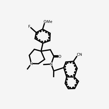 COc1ccc(C2(CC(=O)N(C)C(C)c3cc(C#N)cc4ccccc34)CCN(C)CC2)cc1F